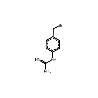 N=C(N)Nc1ccc(CBr)cc1